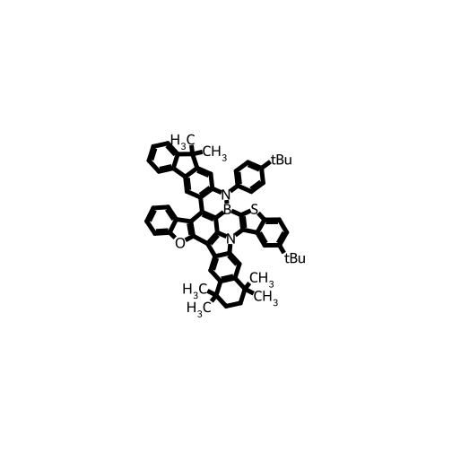 CC(C)(C)c1ccc(N2B3c4sc5ccc(C(C)(C)C)cc5c4-n4c5cc6c(cc5c5c7oc8ccccc8c7c(c3c54)-c3cc4c(cc32)C(C)(C)c2ccccc2-4)C(C)(C)CCC6(C)C)cc1